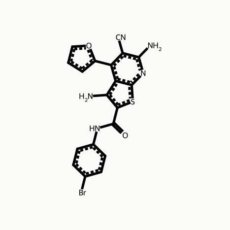 N#Cc1c(N)nc2sc(C(=O)Nc3ccc(Br)cc3)c(N)c2c1-c1ccco1